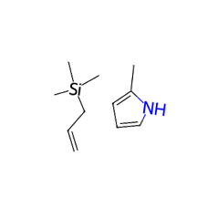 C=CC[Si](C)(C)C.Cc1ccc[nH]1